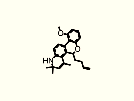 C=CCCC1Oc2cccc(OC)c2-c2ccc3c(c21)C(C)=CC(C)(C)N3